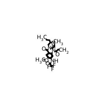 C=CC(=O)Nc1cc(NC(=O)C(F)(F)F)c(OC)cc1C(=O)N1CCN(C)C(CCC)C1